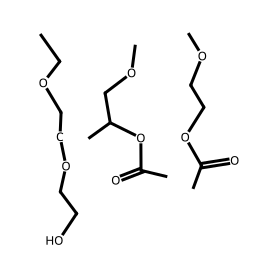 CCOCCOCCO.COCC(C)OC(C)=O.COCCOC(C)=O